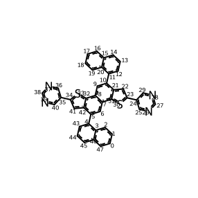 c1ccc2c(-c3cc4c(cc(-c5cccc6ccccc56)c5cc(-c6cncnc6)sc54)c4sc(-c5cncnc5)cc34)cccc2c1